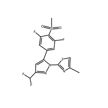 Cc1csc(-n2nc(C(F)F)cc2-c2cc(F)c(S(C)(=O)=O)c(F)c2)n1